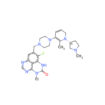 CCN1C(=O)Nc2c(F)c(CN3CCN(C4=C(C)N([C@@H]5CCN(C)C5)CC=C4)CC3)cc3ncnc1c23